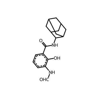 O=CNc1cccc(C(=O)NC2C3CC4CC(C3)CC2C4)c1O